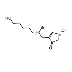 O=C1C[C@@H](O)C=C1C/C(Br)=C/CCCCO